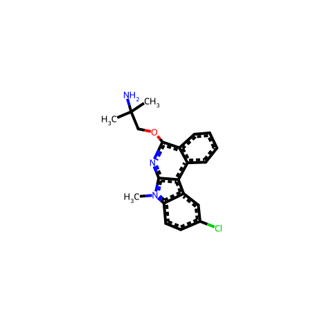 Cn1c2ccc(Cl)cc2c2c3ccccc3c(OCC(C)(C)N)nc21